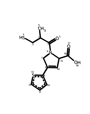 CC(CS)C(=O)N1CC(c2cccs2)=CC1C(=O)O